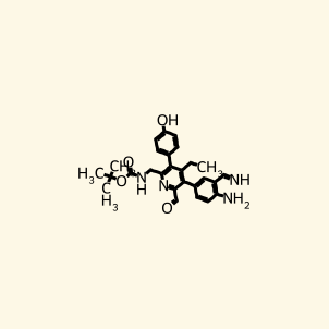 CCc1c(-c2ccc(N)c(C=N)c2)c(C=O)nc(CNC(=O)OC(C)(C)C)c1-c1ccc(O)cc1